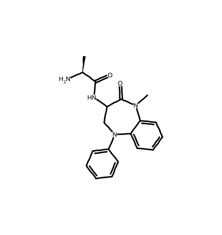 C[C@H](N)C(=O)NC1CN(c2ccccc2)c2ccccc2N(C)C1=O